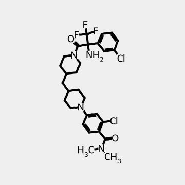 CN(C)C(=O)c1ccc(N2CCC(CC3CCN(C(=O)C(N)(c4cccc(Cl)c4)C(F)(F)F)CC3)CC2)cc1Cl